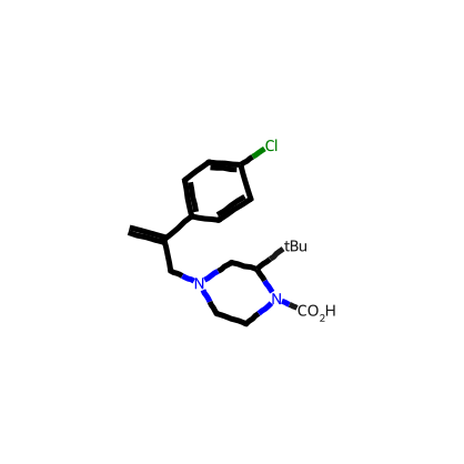 C=C(CN1CCN(C(=O)O)C(C(C)(C)C)C1)c1ccc(Cl)cc1